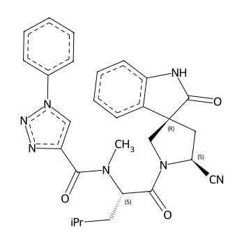 CC(C)C[C@@H](C(=O)N1C[C@]2(C[C@H]1C#N)C(=O)Nc1ccccc12)N(C)C(=O)c1cn(-c2ccccc2)nn1